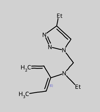 C=C/C(=C\C)N(CC)Cn1cc(CC)nn1